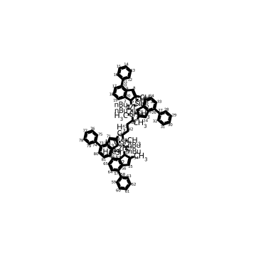 CCC[CH2][Zr]([CH2]CCC)([SiH2]C)([CH]1C(C)=Cc2c(-c3ccccc3)cccc21)([CH]1C(C)=Cc2c(-c3ccccc3)cccc21)[Si](C)(C)CCCC[Si](C)(C)[Zr]([CH2]CCC)([CH2]CCC)([SiH2]C)([CH]1C(C)=Cc2c(-c3ccccc3)cccc21)[CH]1C(C)=Cc2c(-c3ccccc3)cccc21